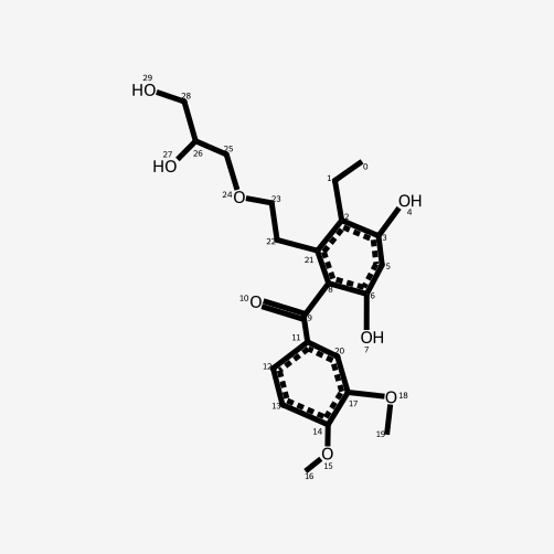 CCc1c(O)cc(O)c(C(=O)c2ccc(OC)c(OC)c2)c1CCOCC(O)CO